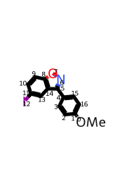 COc1ccc(-c2noc3ccc(I)cc23)cc1